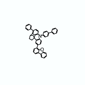 c1ccc(-c2ccc(N3c4ccc(-c5cccc6c5oc5ccccc56)cc4C45CCC(C4)c4c(-c6ccccc6)ccc3c45)cc2)cc1